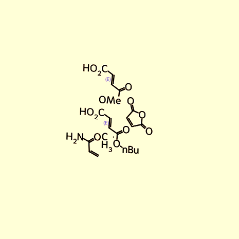 C=CC(N)=O.CCCCOC(=O)/C=C/C(=O)O.COC(=O)/C=C/C(=O)O.O=C1C=CC(=O)O1.[CH3]